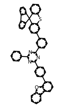 c1ccc(-c2nc(-c3ccc(-c4cccc5c4oc4ccccc45)cc3)nc(-c3cccc(-c4ccc5c(c4)Sc4ccccc4C54c5ccccc5-c5ccccc54)c3)n2)cc1